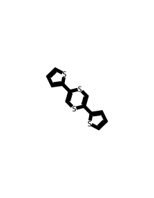 C1=C(c2cccs2)SC=C(c2cccs2)S1